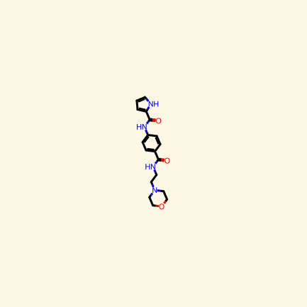 O=C(NCCN1CCOCC1)c1ccc(NC(=O)c2ccc[nH]2)cc1